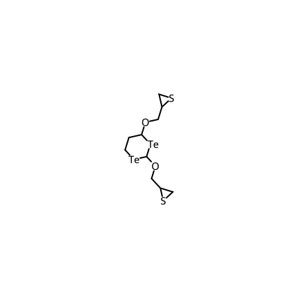 C1CC(OCC2CS2)[Te]C(OCC2CS2)[Te]1